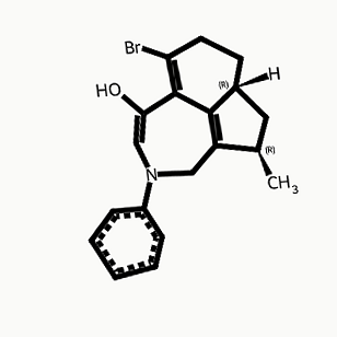 C[C@@H]1C[C@H]2CCC(Br)=C3C(O)=CN(c4ccccc4)CC1=C32